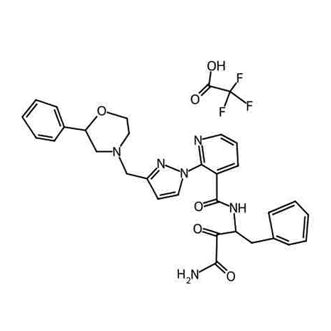 NC(=O)C(=O)C(Cc1ccccc1)NC(=O)c1cccnc1-n1ccc(CN2CCOC(c3ccccc3)C2)n1.O=C(O)C(F)(F)F